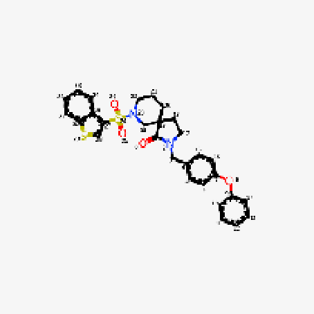 O=C1N(Cc2ccc(Oc3ccccc3)cc2)CCC12CCCN(S(=O)(=O)c1csc3ccccc13)C2